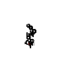 COc1ccc(-c2cccc3cnc(Nc4cccc(-c5cccc6c5[C@@]57CCCC[C@H]5[C@@H](C6)NCC7)c4)nc23)cc1